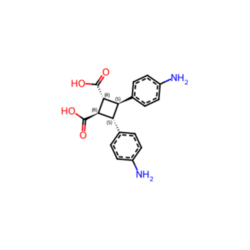 Nc1ccc([C@@H]2[C@@H](C(=O)O)[C@H](C(=O)O)[C@H]2c2ccc(N)cc2)cc1